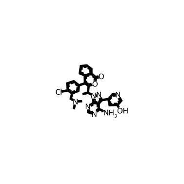 CC(c1oc(=O)c2ccccc2c1-c1ccc(Cl)c(CN(C)C)c1)n1nc(-c2cncc(O)c2)c2c(N)ncnc21